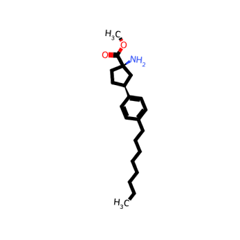 CCCCCCCCc1ccc([C@H]2CC[C@](N)(C(=O)OC)C2)cc1